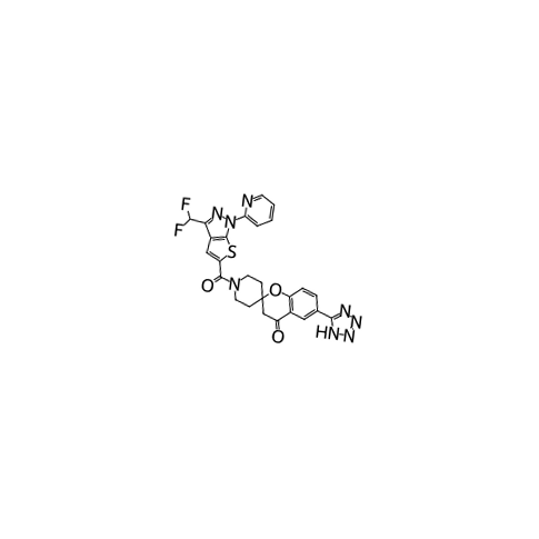 O=C1CC2(CCN(C(=O)c3cc4c(C(F)F)nn(-c5ccccn5)c4s3)CC2)Oc2ccc(-c3nnn[nH]3)cc21